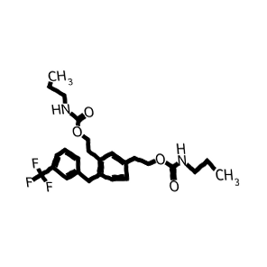 CCCNC(=O)OCCc1ccc(Cc2cccc(C(F)(F)F)c2)c(CCOC(=O)NCCC)c1